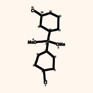 CO[Si](OC)(C1CCC(Cl)CC1)C1CCCC(Cl)C1